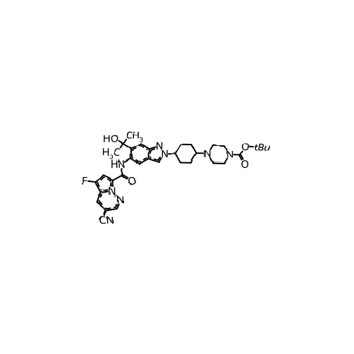 CC(C)(C)OC(=O)N1CCN(C2CCC(n3cc4cc(NC(=O)c5cc(F)c6cc(C#N)cnn56)c(C(C)(C)O)cc4n3)CC2)CC1